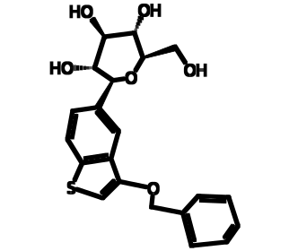 OC[C@H]1O[C@@H](c2ccc3scc(OCc4ccccc4)c3c2)[C@H](O)[C@@H](O)[C@@H]1O